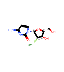 Cl.Nc1ccn([C@@H]2O[C@H](CO)[C@@H](O)[C@H]2F)c(=O)n1